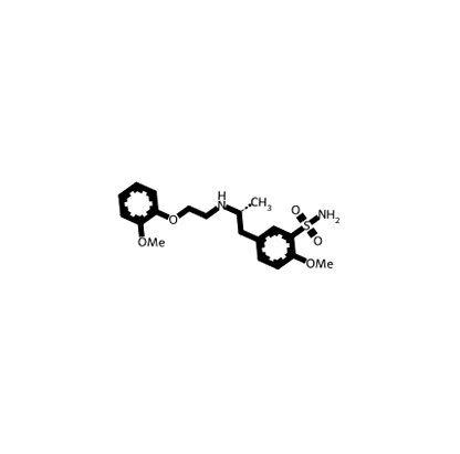 COc1ccccc1OCCN[C@H](C)Cc1ccc(OC)c(S(N)(=O)=O)c1